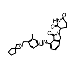 Cc1cc(CNc2cccc3c2C(=O)N(C2CCC(=O)NC2=O)C3)ccc1CN1CC2(CCCC2)C1